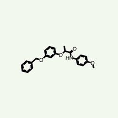 COc1ccc(NC(=O)C(C)Oc2cccc(OCc3ccccc3)c2)cc1